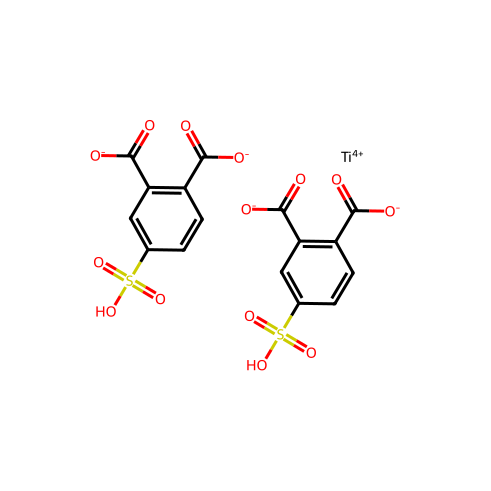 O=C([O-])c1ccc(S(=O)(=O)O)cc1C(=O)[O-].O=C([O-])c1ccc(S(=O)(=O)O)cc1C(=O)[O-].[Ti+4]